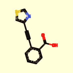 O=C(O)c1ccccc1C#Cc1cscn1